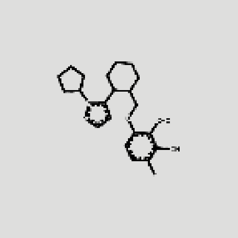 Cc1ccc(OCC2CCCCC2c2ccnn2C2CCCC2)c(C=O)c1O